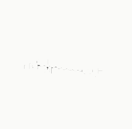 CCCCC(O)CCC(O)CCCCCCCCCCCCC(=O)O